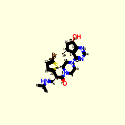 CC(C)NC[C@@H](C(=O)N1CCN(c2ncnc3c2[C@H](C)C[C@H]3O)CC1)c1ccc(Br)s1